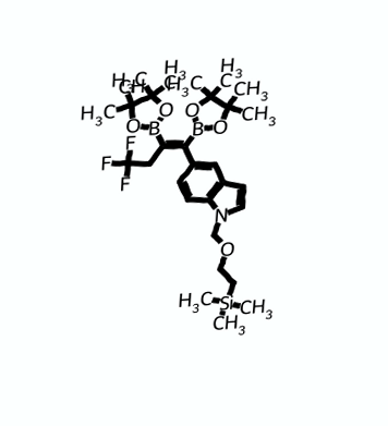 CC1(C)OB(C(CC(F)(F)F)=C(B2OC(C)(C)C(C)(C)O2)c2ccc3c(ccn3COCC[Si](C)(C)C)c2)OC1(C)C